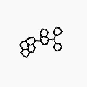 c1ccc(N(c2ccccc2)c2ccc(-c3ccc4ccc5cccc6ccc3c4c56)c3ccccc23)cc1